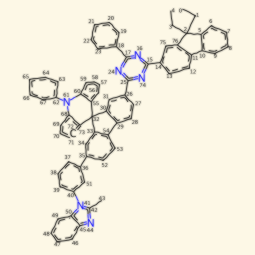 CCC1(CC)c2ccccc2-c2ccc(-c3nc(-c4ccccc4)nc(-c4ccc5c(c4)C4(c6cc(-c7cccc(-n8c(C)nc9ccccc98)c7)ccc6-5)c5ccccc5N(c5ccccc5)c5ccccc54)n3)cc21